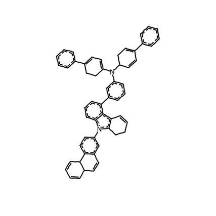 C1=CC2C=Cc3cc(-n4c5c(c6c(-c7cccc(N(C8=CC=C(c9ccccc9)CC8)C8C=CC(c9ccccc9)=CC8)c7)cccc64)C=CCC5)ccc3C2C=C1